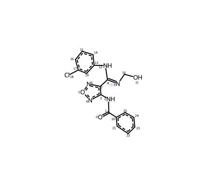 O=C(Nc1nonc1/C(=N/CO)Nc1cccc(Cl)c1)c1ccccc1